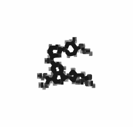 CO[C@H]1CCN(c2nccc(Nc3cc4c(C(C)C)cnc(N5CC(C[S@@](C)(=N)=O)C5)c4cn3)n2)C[C@H]1F